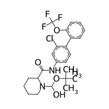 CC(C)(C)OC(O)N1CCCCC1C(=O)Nc1ccc(-c2ccccc2OC(F)(F)F)c(Cl)c1